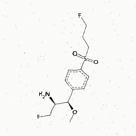 CO[C@H](c1ccc(S(=O)(=O)CCCF)cc1)[C@H](N)CF